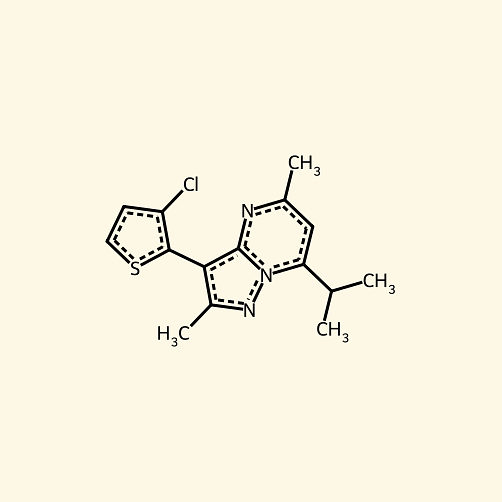 Cc1cc(C(C)C)n2nc(C)c(-c3sccc3Cl)c2n1